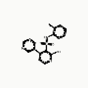 Cc1ccccc1NS(=O)(=O)c1c(-c2cncnc2)ccnc1N